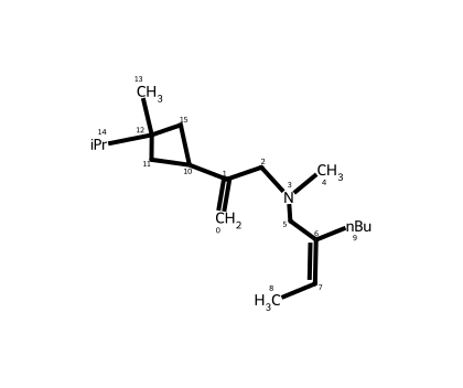 C=C(CN(C)C/C(=C\C)CCCC)C1CC(C)(C(C)C)C1